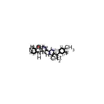 C=C/C=C(\C=C/N(C)C(CC)c1ccc(C)c(F)c1)C(/C=C\N=C)=NCNc1ccncc1C